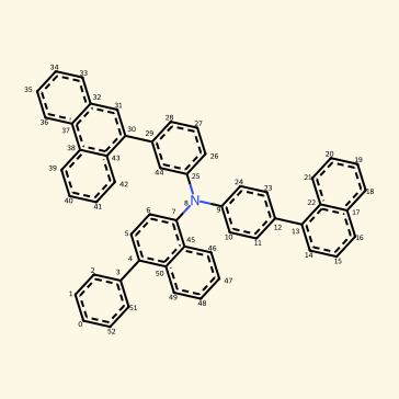 c1ccc(-c2ccc(N(c3ccc(-c4cccc5ccccc45)cc3)c3cccc(-c4cc5ccccc5c5ccccc45)c3)c3ccccc23)cc1